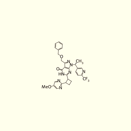 COc1cnc(C2CCC2c2nc3c(c(COCc4ccccc4)nn3[C@@H](C)c3ccc(C(F)(F)F)nc3)c(=O)[nH]2)nc1